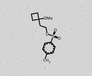 COC1(CCOS(=O)(=O)c2ccc(C)cc2)CCC1